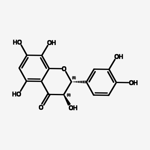 O=C1c2c(O)cc(O)c(O)c2O[C@H](c2ccc(O)c(O)c2)[C@H]1O